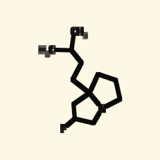 CC(C)CCC12CCCN1CC(F)C2